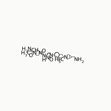 CC(Cc1ccc(-n2ccc(NC(=O)N3CCN(C(=O)C(C)(C)N)CC3)nc2=O)cc1F)N1CC2C(CN)C2C1